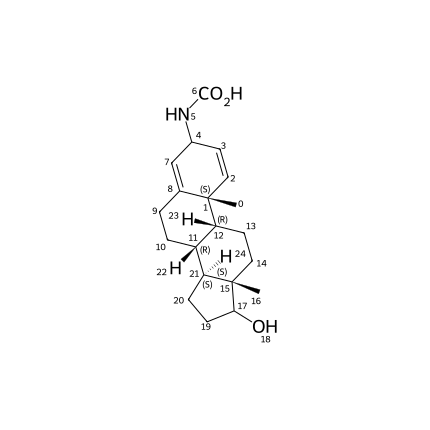 C[C@]12C=CC(NC(=O)O)C=C1CC[C@@H]1[C@H]2CC[C@]2(C)C(O)CC[C@@H]12